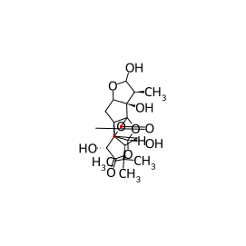 C[C@@H]1C(O)OC2CC34C5OC(=O)C3(O[C@@H]3OC(=O)[C@H](O)C34[C@H](C(C)(C)C)[C@H]5O)[C@]21O